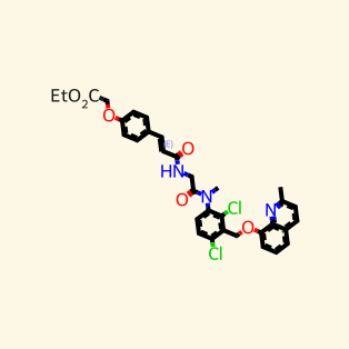 CCOC(=O)COc1ccc(/C=C/C(=O)NCC(=O)N(C)c2ccc(Cl)c(COc3cccc4ccc(C)nc34)c2Cl)cc1